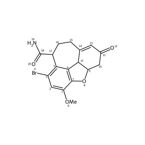 COc1cc(Br)c2c3c1OC1CC(=O)C=C(CCC2C(N)=O)C31